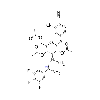 CC(=O)OCC1OC(Sc2cnc(C#N)c(Cl)c2)C(OC(C)=O)C(N(N)/C=C(\N)c2cc(F)c(F)c(F)c2)C1OC(C)=O